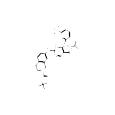 CC(C)n1c(=O)c2cnc(Nc3ccc4c(c3)CN(C(=O)OC(C)(C)C)CC4)nc2n1-c1cccc(P(C)(C)=O)n1